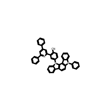 N#Cc1ccc(-n2c3ccccc3c3ccc4c(c5ccccc5n4-c4ccccc4)c32)cc1-c1cc(-c2ccccc2)cc(-c2ccccc2)n1